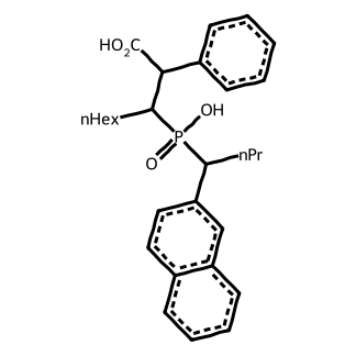 CCCCCCC(C(C(=O)O)c1ccccc1)P(=O)(O)C(CCC)c1ccc2ccccc2c1